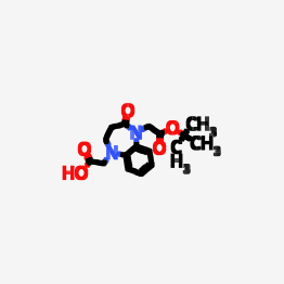 CC(C)(C)OC(=O)CN1C(=O)CCN(CC(=O)O)c2ccccc21